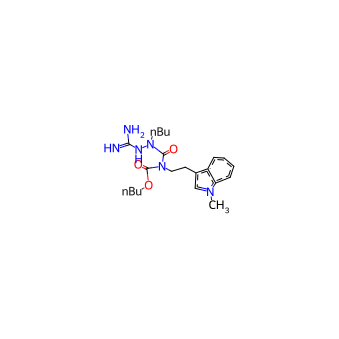 CCCCOC(=O)N(CCc1cn(C)c2ccccc12)C(=O)N(CCCC)NC(=N)N